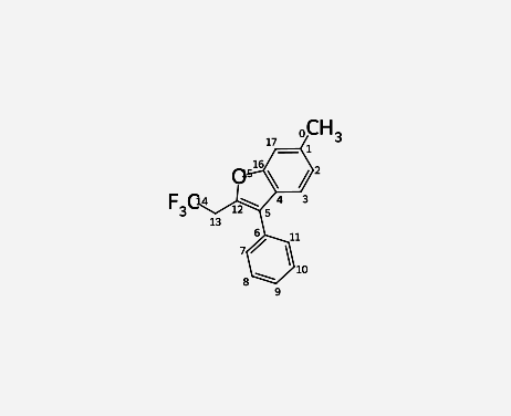 Cc1ccc2c(-c3ccccc3)c(CC(F)(F)F)oc2c1